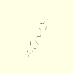 CCN(C)c1ccc(C=Cc2ccc(OS(=O)(=O)OC)cc2)cc1